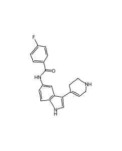 O=C(Nc1ccc2[nH]cc(C3=CCNCC3)c2c1)c1ccc(F)cc1